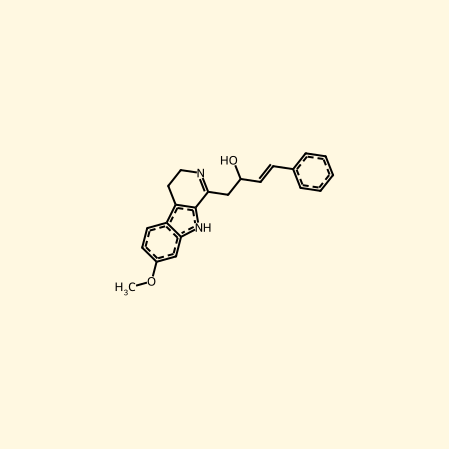 COc1ccc2c3c([nH]c2c1)C(CC(O)/C=C/c1ccccc1)=NCC3